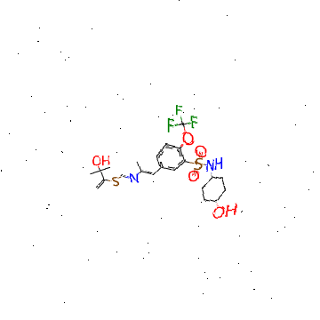 C=C(S/C=N/C(C)=C/c1ccc(OC(F)(F)F)c(S(=O)(=O)N[C@H]2CC[C@@H](O)CC2)c1)C(C)(C)O